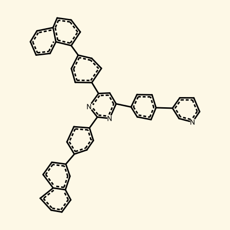 c1cncc(-c2ccc(-c3cc(-c4ccc(-c5cccc6ccccc56)cc4)nc(-c4ccc(-c5ccc6ccccc6c5)cc4)n3)cc2)c1